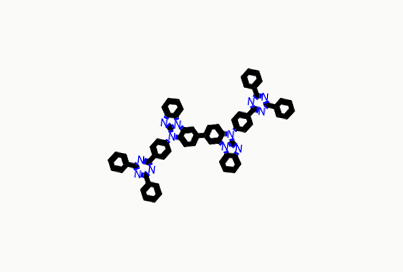 c1ccc(-c2nc(-c3ccccc3)nc(-c3ccc(-n4c5ccc(-c6ccc7c(c6)n6c8ccccc8nc6n7-c6ccc(-c7nc(-c8ccccc8)nc(-c8ccccc8)n7)cc6)cc5n5c6ccccc6nc45)cc3)n2)cc1